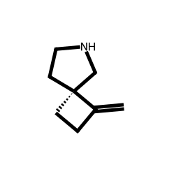 C=C1CC[C@@]12CCNC2